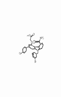 NC(=O)c1cccc2c1c1c(OCC(=O)O)cc(-c3ccc(Cl)cc3)cc1n2Cc1cccc(Br)c1